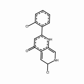 O=c1cc(-c2ccccc2Cl)[nH]c2c1=CC(Cl)NC=2